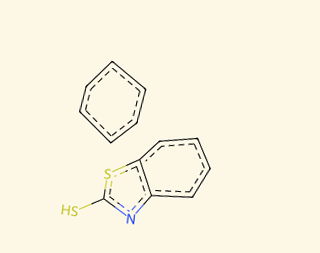 Sc1nc2ccccc2s1.c1ccccc1